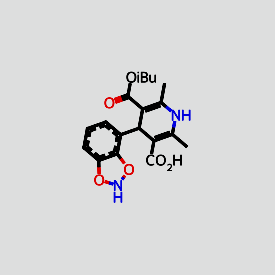 CC1=C(C(=O)O)C(c2cccc3c2ONO3)C(C(=O)OCC(C)C)=C(C)N1